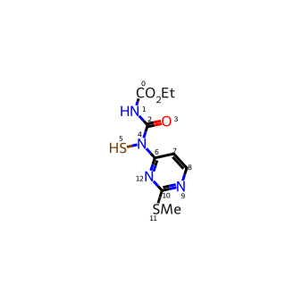 CCOC(=O)NC(=O)N(S)c1ccnc(SC)n1